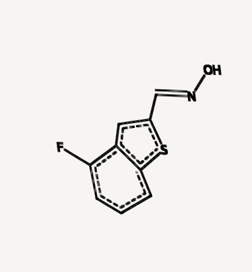 ON=Cc1cc2c(F)cccc2s1